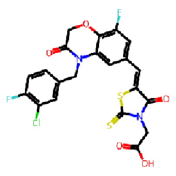 O=C(O)CN1C(=O)C(=Cc2cc(F)c3c(c2)N(Cc2ccc(F)c(Cl)c2)C(=O)CO3)SC1=S